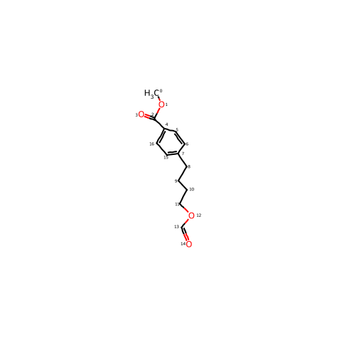 COC(=O)c1ccc(CCCCOC=O)cc1